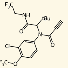 C#CC(=O)N(c1ccc(OC(F)(F)F)c(Cl)c1)C(C(=O)NCC(F)(F)F)C(C)(C)C